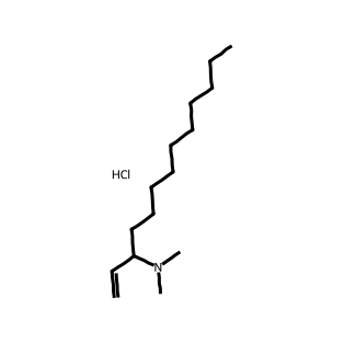 C=CC(CCCCCCCCCC)N(C)C.Cl